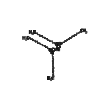 CCCCCCCCCCCCCCCCCCOc1ccc([Te]c2ccc(OCCCCCCCCCCCCCCCCCC)c(OCCCCCCCCCCCCCCCCCC)c2)cc1OCCCCCCCCCCCCCCCCCC